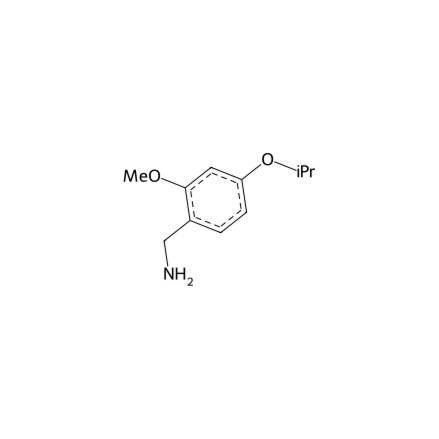 COc1cc(OC(C)C)ccc1CN